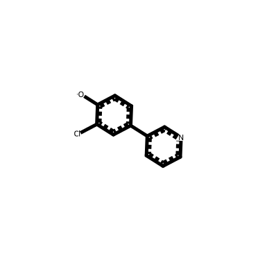 [O]c1ccc(-c2cccnc2)cc1Cl